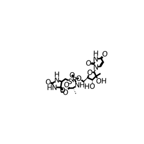 COC(=O)[C@@H](C)NP(=O)(OC[C@H]1O[C@@H](n2ccc(=O)[nH]c2=O)C(C)(O)[C@@H]1O)SCC1NC(=O)NC1=O